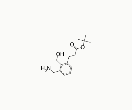 CC(C)(C)OC(=O)CCc1cccc(CN)c1CO